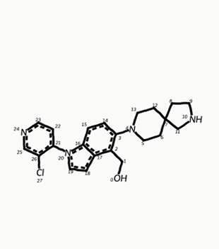 OCc1c(N2CCC3(CCNC3)CC2)ccc2c1ccn2-c1ccncc1Cl